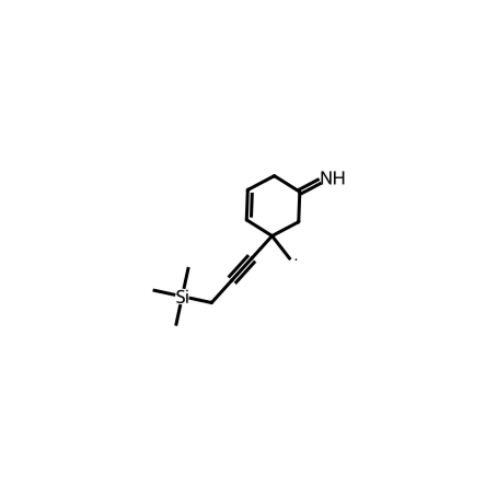 [CH2]C1(C#CC[Si](C)(C)C)C=CCC(=N)C1